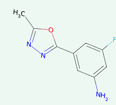 Cc1nnc(-c2cc(N)cc(F)c2)o1